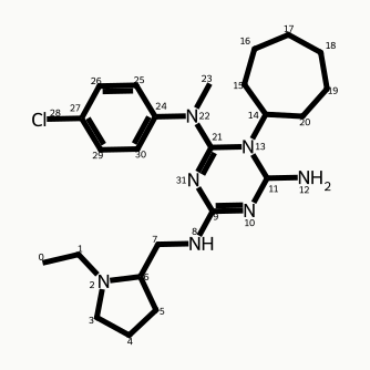 CCN1CCCC1CNC1=NC(N)N(C2CCCCCC2)C(N(C)c2ccc(Cl)cc2)=N1